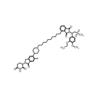 CCOc1cc(C(CS(C)(=O)=O)N2C(=O)c3cccc(CCCCCCCCCCN4CCC(c5cc6c(cc5F)C(=O)N(C5CCC(=O)NC5=O)C6)CC4)c3C2=O)ccc1OC